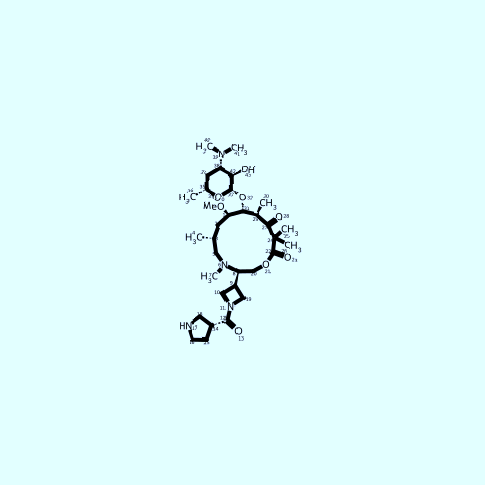 CO[C@@H]1C[C@@H](C)CN(C)[C@H](C2CN(C(=O)[C@@H]3CCNC3)C2)COC(=O)C(C)(C)C(=O)[C@H](C)[C@H]1O[C@@H]1O[C@H](C)C[C@H](N(C)C)[C@H]1O